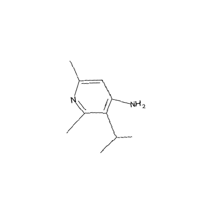 Cc1cc(N)c(C(C)C)c(C)n1